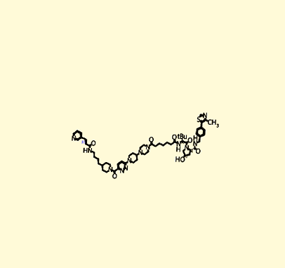 Cc1ncsc1-c1ccc(CNC(=O)[C@@H]2C[C@@H](O)CN2C(=O)[C@@H](NC(=O)CCCCCC(=O)N2CCN(C3CCN(c4ccc(C(=O)N5CCC(CCCCNC(=O)/C=C/c6cccnc6)CC5)nn4)CC3)CC2)C(C)(C)C)cc1